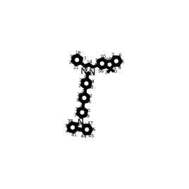 CC1(C)c2ccccc2-c2ccc(-c3cc(-c4ccccc4)nc(-c4ccc(-c5ccc(-c6ccc(-n7c8ccccc8c8ccccc87)cc6)cc5)cc4)n3)cc21